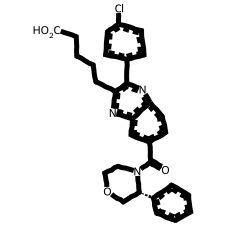 O=C(O)CCCCc1nc2cc(C(=O)N3CCOC[C@H]3c3ccccc3)ccc2nc1-c1ccc(Cl)cc1